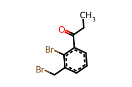 CCC(=O)c1cccc(CBr)c1Br